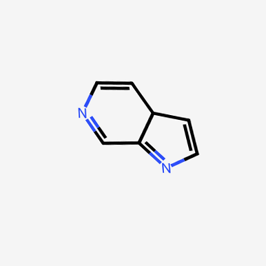 C1=CC2C=CN=C2C=N1